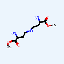 CC(C)(C)OC(=O)C(N)CCNCCC(N)C(=O)OC(C)(C)C